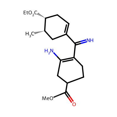 CCOC(=O)[C@@H]1CC=C(C(=N)C2=C(N)CC(C(=O)OC)CC2)C[C@@H]1C